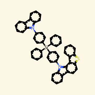 c1ccc([Si](c2ccccc2)(c2ccc(-n3c4ccccc4c4ccccc43)cc2)c2ccc(-n3c4ccccc4c4ccc5sc6ccccc6c5c43)cc2)cc1